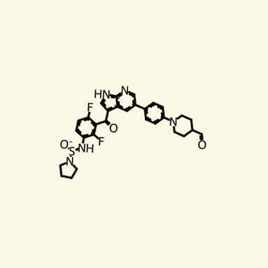 O=CC1CCN(c2ccc(-c3cnc4[nH]cc(C(=O)c5c(F)ccc(N[S+]([O-])N6CCCC6)c5F)c4c3)cc2)CC1